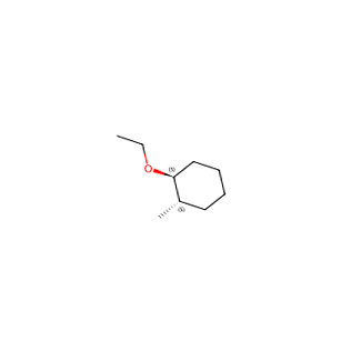 CCO[C@H]1CCCC[C@@H]1C